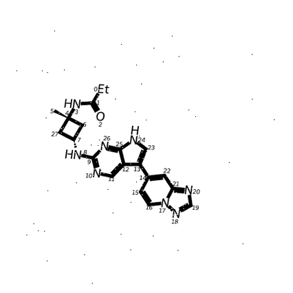 CCC(=O)N[C@]1(C)C[C@H](Nc2ncc3c(-c4ccn5ncnc5c4)c[nH]c3n2)C1